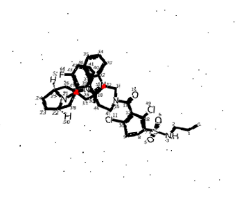 CCCNS(=O)(=O)c1ccc(Cl)c(C(=O)N2CCC(CCN3[C@@H]4CC[C@H]3CC(n3c(C)nc5ccccc53)C4)(c3cccc(F)c3)CC2)c1Cl